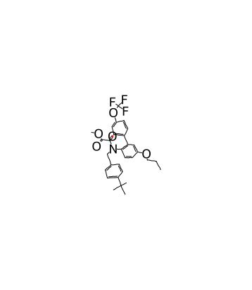 CCCOc1ccc(N(Cc2ccc(C(C)(C)C)cc2)C(=O)C(=O)OC)c(-c2ccc(OC(F)(F)F)cc2)c1